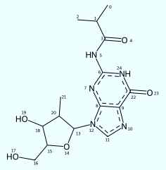 CC(C)C(=O)Nc1nc2c(ncn2C2OC(CO)C(O)C2C)c(=O)[nH]1